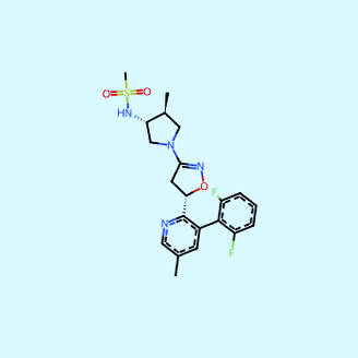 Cc1cnc([C@@H]2CC(N3C[C@H](NS(C)(=O)=O)[C@@H](C)C3)=NO2)c(-c2c(F)cccc2F)c1